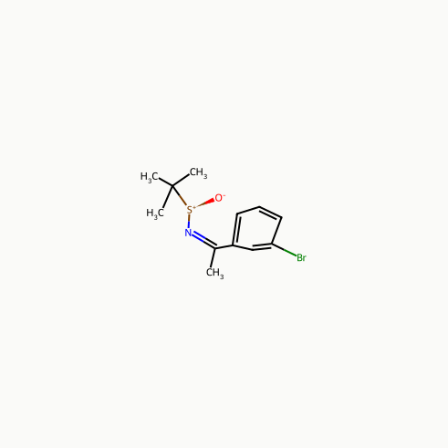 C/C(=N/[S@+]([O-])C(C)(C)C)c1cccc(Br)c1